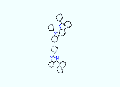 c1ccc(-c2nc3c(ccc4c5cc(-c6ccc(-c7nc(-c8cccc9ccccc89)c8ccccc8n7)cc6)ccc5n(-c5ccccc5)c43)c3ccccc23)cc1